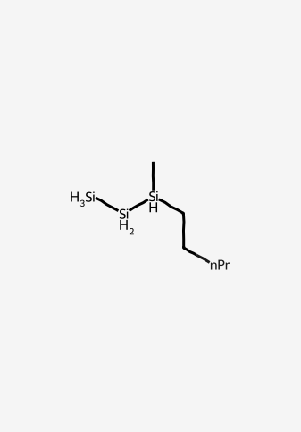 CCCCC[SiH](C)[SiH2][SiH3]